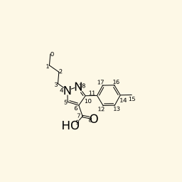 CCCCn1cc(C(=O)O)c(-c2ccc(C)cc2)n1